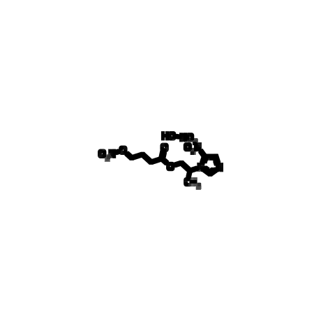 CC(COC(=O)CCCO[N+](=O)[O-])n1cncc1[N+](=O)[O-].O=[N+]([O-])O